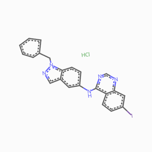 Cl.Ic1ccc2c(Nc3ccc4c(cnn4Cc4ccccc4)c3)ncnc2c1